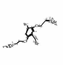 CCCCCCCCCCCCOc1cc(Br)c(OCCCCCCCCCCCC)cc1Br